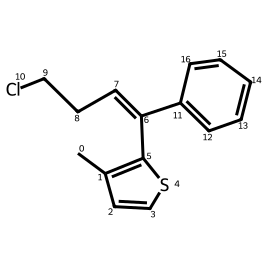 Cc1ccsc1C(=CCCCl)c1ccccc1